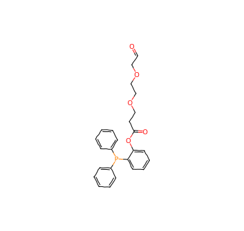 O=CCOCCOCCC(=O)Oc1ccccc1P(c1ccccc1)c1ccccc1